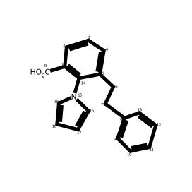 O=C(O)c1cccc(CCc2ccccc2)c1-n1cccc1